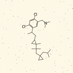 CC(C)CC1(CC(C)(C)C2(C)CC2CC(C)c2cc(CN(C)C)c(Cl)cc2Cl)CC1